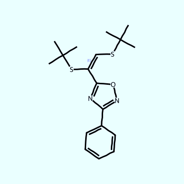 CC(C)(C)S/C=C(/SC(C)(C)C)c1nc(-c2ccccc2)no1